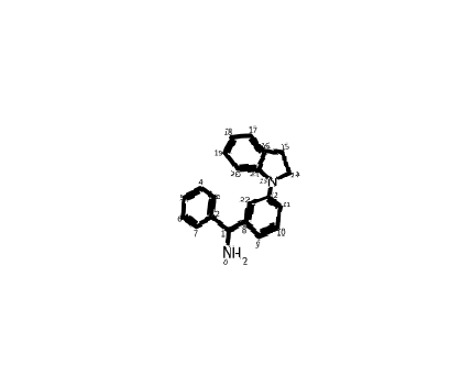 NC(c1ccccc1)c1cccc(N2CCc3ccccc32)c1